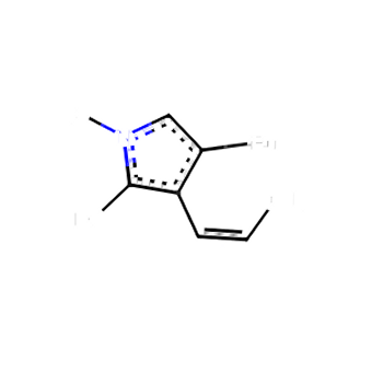 C/C=C\c1c(C(C)CC)cn(C)c1C